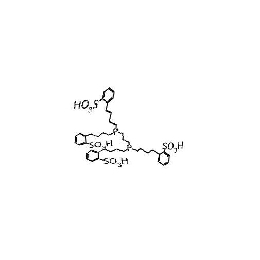 O=S(=O)(O)c1ccccc1CCCCP(CCCCc1ccccc1S(=O)(=O)O)CCCP(CCCCc1ccccc1S(=O)(=O)O)CCCCc1ccccc1S(=O)(=O)O